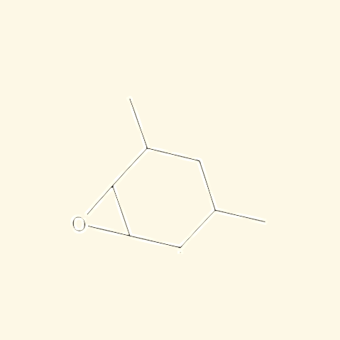 CC1[CH]C2OC2C(C)C1